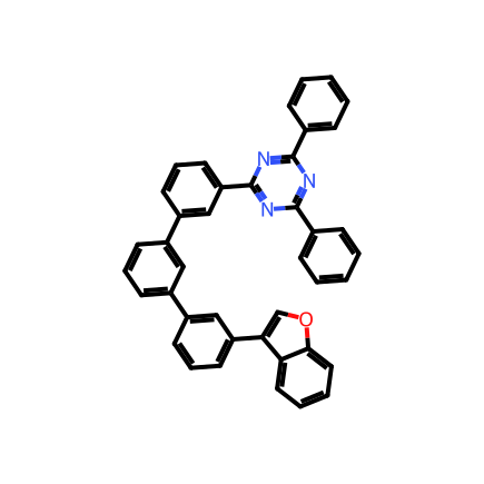 c1ccc(-c2nc(-c3ccccc3)nc(-c3cccc(-c4cccc(-c5cccc(-c6coc7ccccc67)c5)c4)c3)n2)cc1